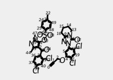 C#CCOc1cc(-n2nc3n(c2=O)CCCC3)c(Cl)cc1Cl.Cc1ccc(S(=O)(=O)Oc2c(C(=O)c3ccc(Cl)cc3Cl)c(C)nn2C)cc1